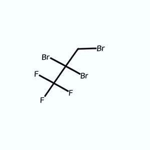 FC(F)(F)C(Br)(Br)CBr